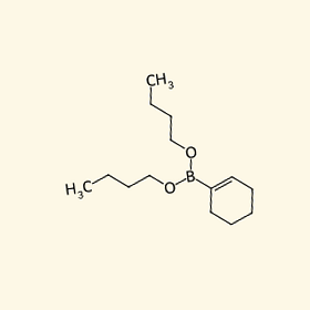 CCCCOB(OCCCC)C1=CCCCC1